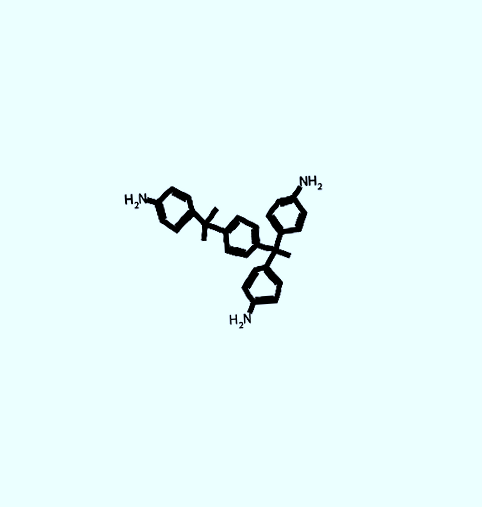 CC(C)(c1ccc(N)cc1)c1ccc(C(C)(c2ccc(N)cc2)c2ccc(N)cc2)cc1